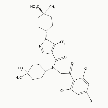 CC1(C)CCC(N(CC(=O)c2c(Cl)cc(F)cc2Cl)C(=O)c2cnn([C@H]3CC[C@](C)(C(=O)O)CC3)c2C(F)(F)F)CC1